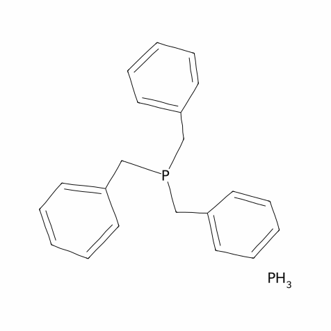 P.c1ccc(CP(Cc2ccccc2)Cc2ccccc2)cc1